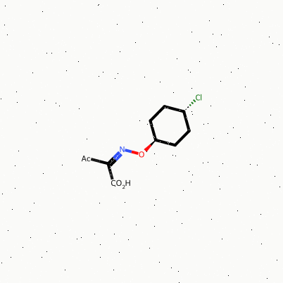 CC(=O)/C(=N/O[C@H]1CC[C@H](Cl)CC1)C(=O)O